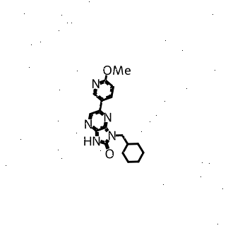 COc1ccc(-c2cnc3[nH]c(=O)n(CC4CCCCC4)c3n2)cn1